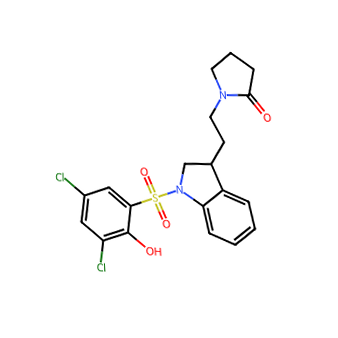 O=C1CCCN1CCC1CN(S(=O)(=O)c2cc(Cl)cc(Cl)c2O)c2ccccc21